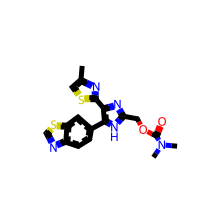 Cc1csc(-c2nc(COC(=O)N(C)C)[nH]c2-c2ccc3ncsc3c2)n1